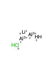 Cl.[Al+3].[Al+3].[HH].[Li+]